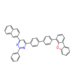 c1ccc(-c2nc(-c3ccc(-c4ccc(-c5cccc6c5oc5ccccc56)cc4)cc3)cc(-c3ccc4ccccc4c3)n2)cc1